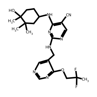 CC(F)(F)COc1ncncc1CNc1ncc(C#N)c(NC2CCC(C)(O)C(C)(C)C2)n1